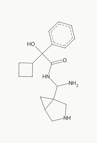 NC(NC(=O)C(O)(c1ccccc1)C1CCC1)C12CNCC1C2